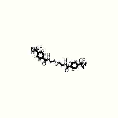 O=C(NCCOCCNC(=O)c1ccc(C2(C(F)(F)F)N=N2)cc1)c1ccc(C2(C(F)(F)F)N=N2)cc1